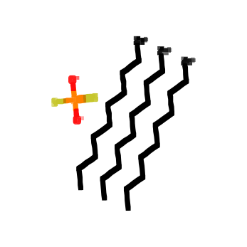 CCCCCCCC[CH2][Zn+].CCCCCCCC[CH2][Zn+].CCCCCCCC[CH2][Zn+].[O-]P([O-])(=S)[S-]